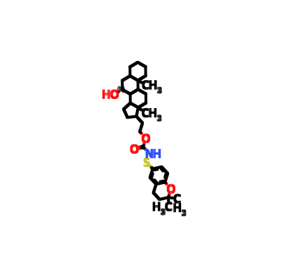 CC1(C)CCc2cc(SNC(=O)OCCC3CCC4C5C(CCC34C)C3(C)CCCCC3C[C@H]5O)ccc2O1